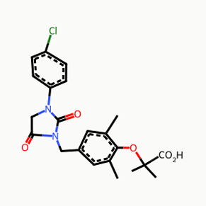 Cc1cc(CN2C(=O)CN(c3ccc(Cl)cc3)C2=O)cc(C)c1OC(C)(C)C(=O)O